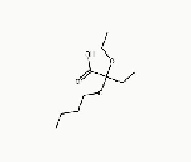 CCCCOC(CC)(OCC)C(=O)O